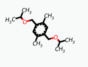 Cc1cc(COC(C)C)c(C)cc1COC(C)C